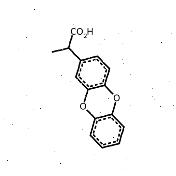 CC(C(=O)O)c1ccc2c(c1)Oc1ccccc1O2